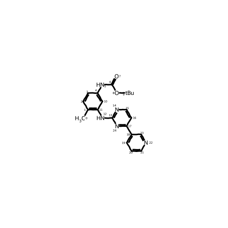 Cc1ccc(NC(=O)OC(C)(C)C)cc1Nc1nccc(-c2cccnc2)n1